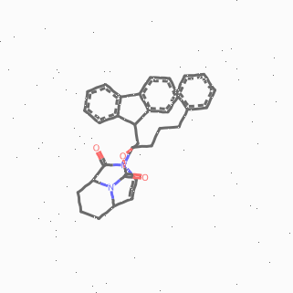 O=C1C2CCCC(C=CN1CCCCc1ccccc1)N2C(=O)OCC1c2ccccc2-c2ccccc21